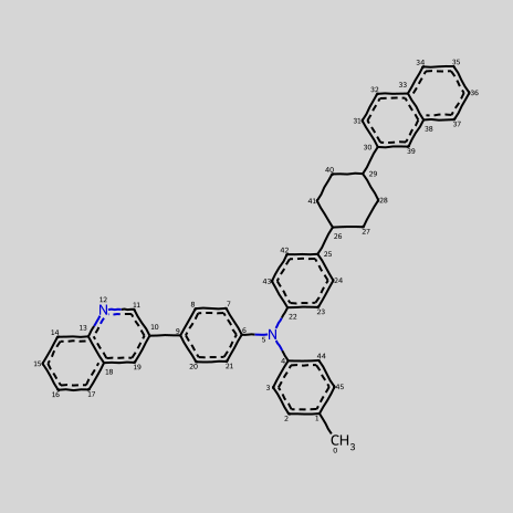 Cc1ccc(N(c2ccc(-c3cnc4ccccc4c3)cc2)c2ccc(C3CCC(c4ccc5ccccc5c4)CC3)cc2)cc1